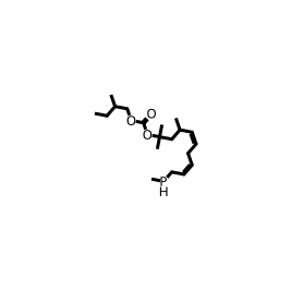 CCC(C)COC(=O)OC(C)(C)CC(C)/C=C\C/C=C\CPC